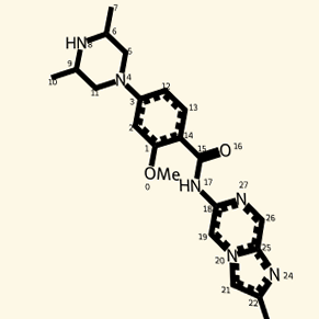 COc1cc(N2CC(C)NC(C)C2)ccc1C(=O)Nc1cn2cc(C)nc2cn1